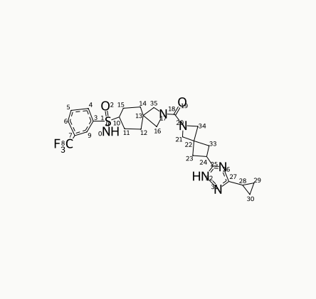 N=S(=O)(c1cccc(C(F)(F)F)c1)C1CCC2(CC1)CN(C(=O)N1CC3(CC(c4nc(C5CC5)n[nH]4)C3)C1)C2